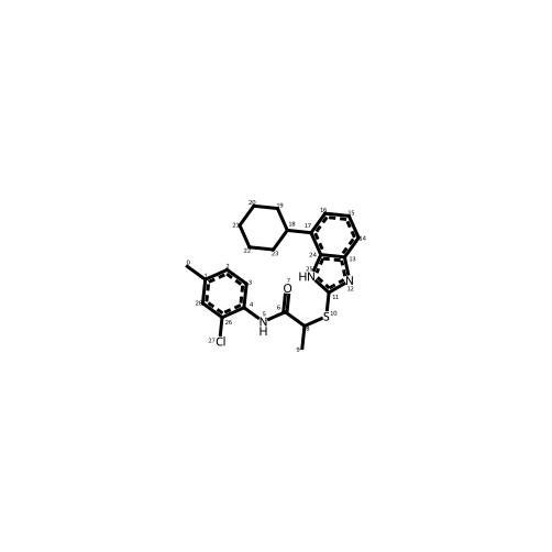 Cc1ccc(NC(=O)C(C)Sc2nc3cccc(C4CCCCC4)c3[nH]2)c(Cl)c1